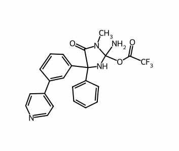 CN1C(=O)C(c2ccccc2)(c2cccc(-c3ccncc3)c2)NC1(N)OC(=O)C(F)(F)F